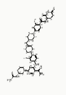 CC(=O)N[C@@H]1CCCN(c2nnc(C(N)=O)c(Nc3ccc(N4CCN(CC5CCN(c6ccc(C(=O)NC7CCC(=O)NC7=O)c(F)c6)CC5)CC4)c(F)c3)n2)C1